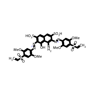 C=CS(=O)(=O)c1cc(OC)c(/N=N/c2c(S(=O)(=O)O)cc3cc(S(=O)(=O)O)c(/N=N/c4cc(OC)c(S(=O)(=O)C=C)cc4OC)c(O)c3c2N)cc1OC